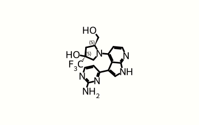 Nc1nccc(-c2c[nH]c3nccc(N4C[C@](O)(C(F)(F)F)C[C@H]4CO)c23)n1